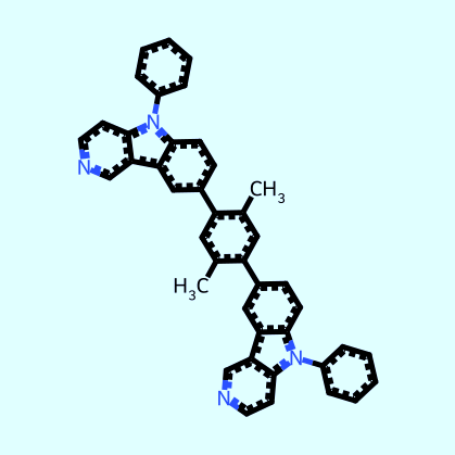 Cc1cc(-c2ccc3c(c2)c2cnccc2n3-c2ccccc2)c(C)cc1-c1ccc2c(c1)c1cnccc1n2-c1ccccc1